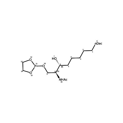 CCCCCCCCCCCCCCC[C@@H](O)[C@H](COP1OCCO1)NC(C)=O